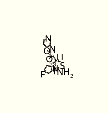 NC1=N[C@@]2(c3ccc(F)cc3F)CO[C@@H](c3nc4cnccc4o3)C[C@H]2CS1